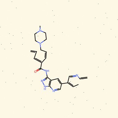 C=C/C=C(\C=C/CN1CCN(C)CC1)C(=O)Nc1n[nH]c2ncc(C(/C=N\C=C)=C/C)cc12